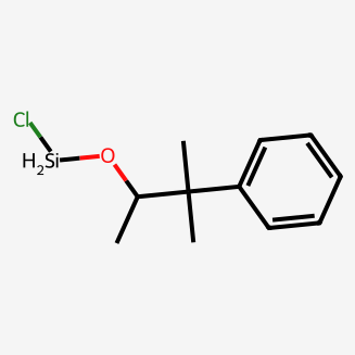 CC(O[SiH2]Cl)C(C)(C)c1ccccc1